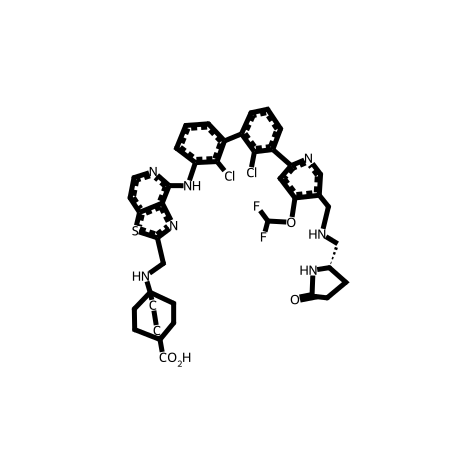 O=C1CC[C@@H](CNCc2cnc(-c3cccc(-c4cccc(Nc5nccc6sc(CNC78CCC(C(=O)O)(CC7)CC8)nc56)c4Cl)c3Cl)cc2OC(F)F)N1